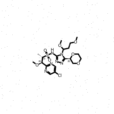 COCCC(OC)n1c(NS(=O)(=O)[C@@H](C)[C@H](OC)c2ncc(Cl)cn2)nnc1[C@@H]1COCCO1